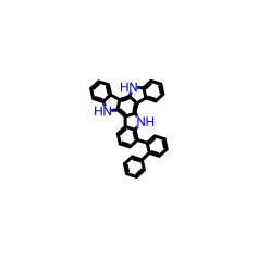 c1ccc(-c2ccccc2-c2cccc3c2[nH]c2c4c5ccccc5[nH]c4c4c5ccccc5[nH]c4c32)cc1